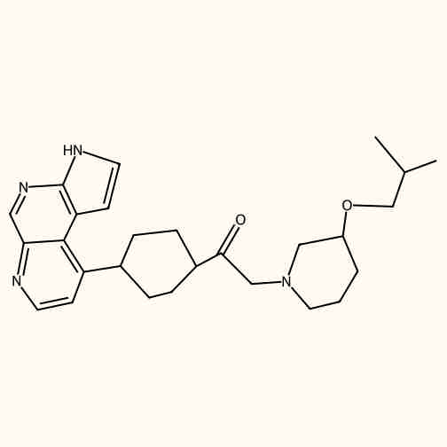 CC(C)COC1CCCN(CC(=O)C2CCC(c3ccnc4cnc5[nH]ccc5c34)CC2)C1